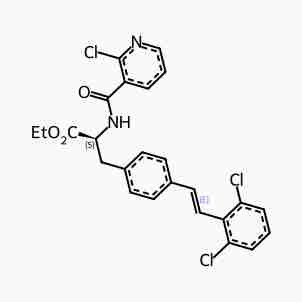 CCOC(=O)[C@H](Cc1ccc(/C=C/c2c(Cl)cccc2Cl)cc1)NC(=O)c1cccnc1Cl